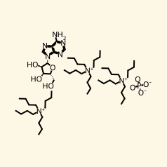 CCCC[N+](CCCC)(CCCC)CCCC.CCCC[N+](CCCC)(CCCC)CCCC.CCCC[N+](CCCC)(CCCC)CCCC.Nc1ncnc2c1ncn2[C@@H]1O[C@H](CO)[C@@H](O)[C@H]1O.O=P([O-])([O-])[O-]